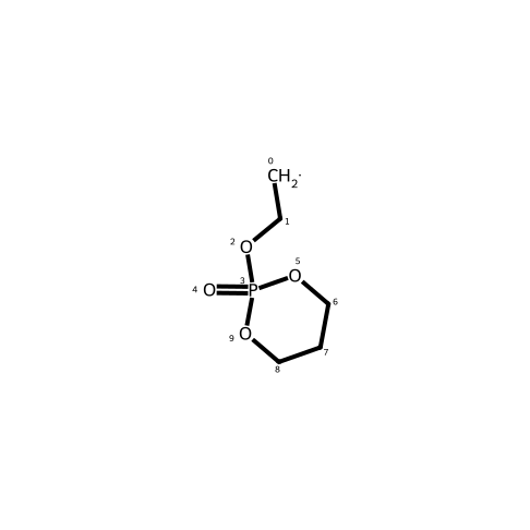 [CH2]COP1(=O)OCCCO1